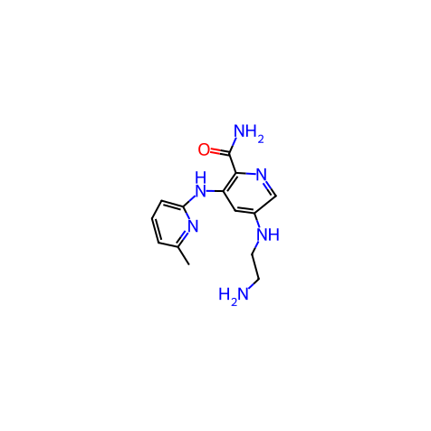 Cc1cccc(Nc2cc(NCCN)cnc2C(N)=O)n1